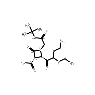 C=C(C(OCC)OCC)[C@H]1[C@H](C(C)=O)C(=O)N1CC(=O)OC(C)(C)C